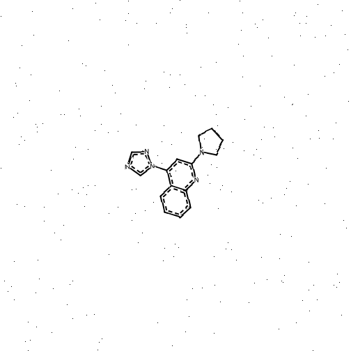 c1ccc2c(-n3cncn3)cc(N3CCCC3)nc2c1